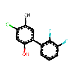 N#Cc1cc(-c2cccc(F)c2F)c(O)cc1Cl